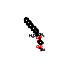 CCC(C)C(=O)OC1CC2CC1CC2C(=O)OC(C)(C)c1ccc2cc3cc4cc5ccccc5cc4cc3cc2c1